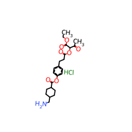 CCOC(=O)C(OC(=O)CCc1ccc(OC(=O)C2CCC(CN)CC2)cc1)C(C)=O.Cl